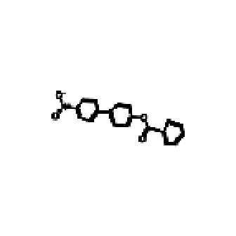 O=C(Oc1ccc(-c2ccc([N+](=O)[O-])cc2)cc1)c1ccccc1